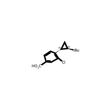 CC(C)(C)[C@@H]1C[C@H]1c1ccc(C(=O)O)cc1Cl